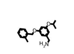 Cc1ccccc1COc1cc(CN)cc(OC(C)C)c1